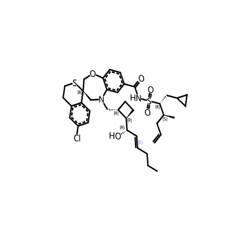 C=CC[C@H](C)[C@@H](CC1CC1)S(=O)(=O)NC(=O)c1ccc2c(c1)N(C[C@@H]1CC[C@H]1[C@@H](O)/C=C/CCC)C[C@]1(CO2)SCCc2cc(Cl)ccc21